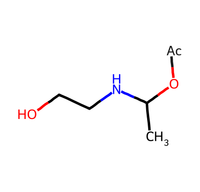 CC(=O)OC(C)NCCO